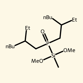 CCCCC(CC)CP(=O)(CC(CC)CCCC)[Si](C)(OC)OC